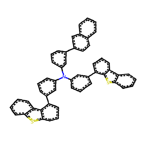 c1cc(-c2ccc3ccccc3c2)cc(N(c2cccc(-c3cccc4c3sc3ccccc34)c2)c2cccc(-c3cccc4sc5ccccc5c34)c2)c1